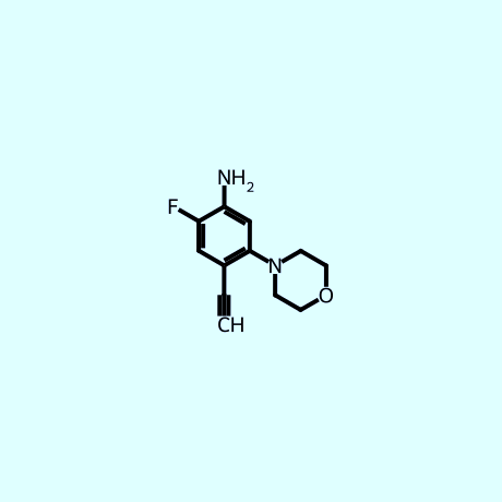 C#Cc1cc(F)c(N)cc1N1CCOCC1